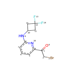 O=C(CBr)c1cccc(NC2CC(F)(F)C2)n1